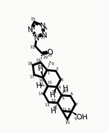 C[C@]12CC[C@@H]3[C@H]4CC[C@]5(O)CC5[C@H]4CC[C@H]3[C@@H]1CC[C@@H]2C(=O)Cn1ncnn1